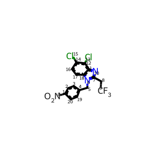 O=[N+]([O-])c1ccc(Cn2c(CC(F)(F)F)nc3c(Cl)c(Cl)ccc32)cc1